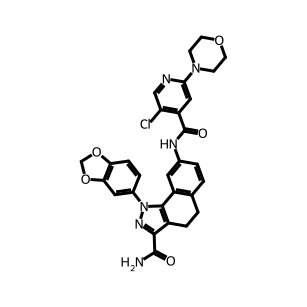 NC(=O)c1nn(-c2ccc3c(c2)OCO3)c2c1CCc1ccc(NC(=O)c3cc(N4CCOCC4)ncc3Cl)cc1-2